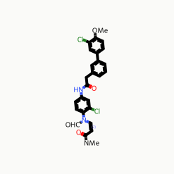 CNC(=O)/C=C\N(C=O)c1ccc(NC(=O)Cc2cccc(-c3ccc(OC)c(Cl)c3)c2)cc1Cl